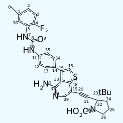 Cc1ccc(F)c(NC(=O)Nc2ccc(-c3csc4c(C#C[C@@]5(C(C)(C)C)CCCN5C(=O)O)cnc(N)c34)cc2)c1